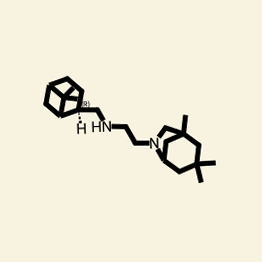 CC1(C)CC2CC(C)(CN2CCNC[C@@H]2CCC3CC2C3(C)C)C1